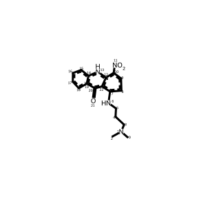 CN(C)CCCNc1ccc([N+](=O)[O-])c2[nH]c3ccccc3c(=O)c12